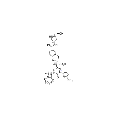 CC1(C)[C@H](NC(=O)/C(=N\O[C@](C)(C(=O)O)[C@H]2CCc3cc(C(=N)N[C@H]4CN[C@H](CO)C4)ccc3O2)c2csc(N)n2)C(=O)N1OS(=O)(=O)O